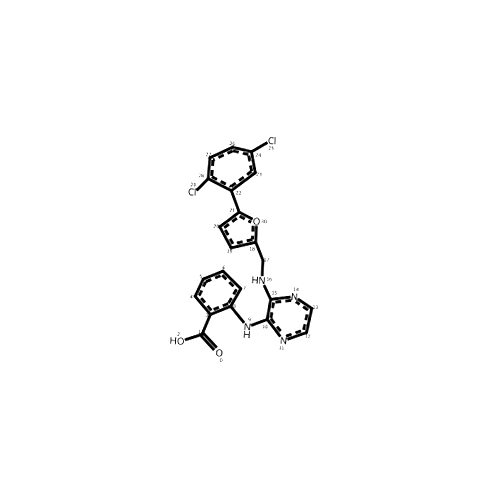 O=C(O)c1ccccc1Nc1nccnc1NCc1ccc(-c2cc(Cl)ccc2Cl)o1